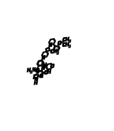 CC(C)Oc1ccccc1[C@@H]1CCCCN1C1CC2(CCN(c3ccc(C(N)=O)c(N4c5cc6cc[nH]c6nc5O[C@H]5COCC[C@@H]54)c3)CC2)C1C